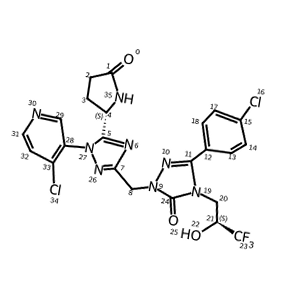 O=C1CC[C@@H](c2nc(Cn3nc(-c4ccc(Cl)cc4)n(C[C@H](O)C(F)(F)F)c3=O)nn2-c2cnccc2Cl)N1